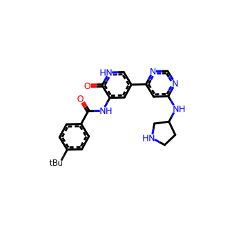 CC(C)(C)c1ccc(C(=O)Nc2cc(-c3cc(NC4CCNC4)ncn3)c[nH]c2=O)cc1